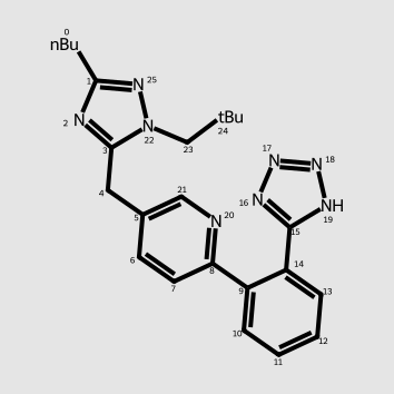 CCCCc1nc(Cc2ccc(-c3ccccc3-c3nnn[nH]3)nc2)n(CC(C)(C)C)n1